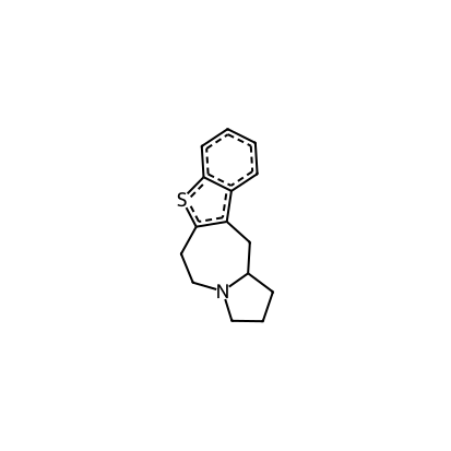 c1ccc2c3c(sc2c1)CCN1CCCC1C3